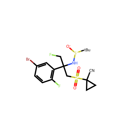 CC(C)(C)[S+]([O-])NC(CF)(CS(=O)(=O)C1(C#N)CC1)c1cc(Br)ccc1F